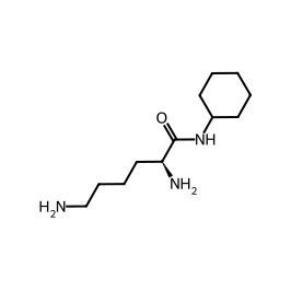 NCCCC[C@H](N)C(=O)NC1CCCCC1